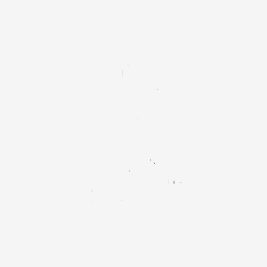 CCCCN(CCOCC)C(=O)OC(C)(C)C